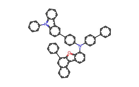 c1ccc(-c2ccc(N(c3ccc(-c4ccc5c(c4)c4ccccc4n5-c4ccccc4)cc3)c3cccc4c3oc3c(-c5ccccc5)cc5ccccc5c34)cc2)cc1